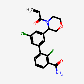 C=CC(=O)N1CCOCC1c1cc(Cl)cc(-c2cccc(C(N)=O)c2F)c1